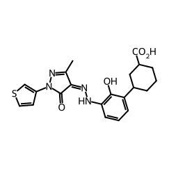 CC1=NN(c2ccsc2)C(=O)C1=NNc1cccc(C2CCCC(C(=O)O)C2)c1O